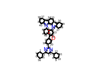 c1ccc(-c2cc(-c3ccccc3)nc(-c3ccc4c(c3)oc3cc(-n5c6ccccc6c6ccc7c8ccccc8n(-c8ccccc8)c7c65)ccc34)n2)cc1